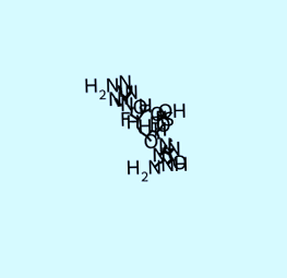 Nc1nc2c(ncn2[C@@H]2OC3CC[C@H]4[C@@H](F)[C@H](n5cnc6c(N)ncnc65)O[C@@H]4COP(O)(=S)O[C@@H]2[C@@H]3F)c(=O)[nH]1